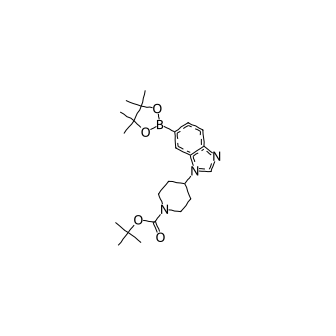 CC(C)(C)OC(=O)N1CCC(n2cnc3ccc(B4OC(C)(C)C(C)(C)O4)cc32)CC1